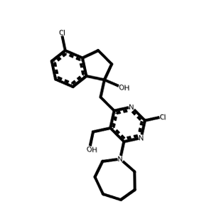 OCc1c(CC2(O)CCc3c(Cl)cccc32)nc(Cl)nc1N1CCCCCC1